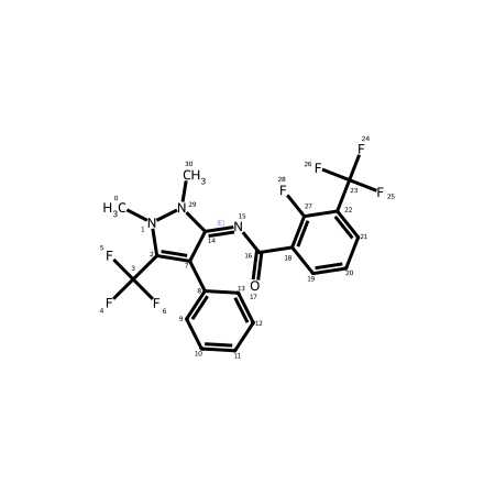 Cn1c(C(F)(F)F)c(-c2ccccc2)/c(=N\C(=O)c2cccc(C(F)(F)F)c2F)n1C